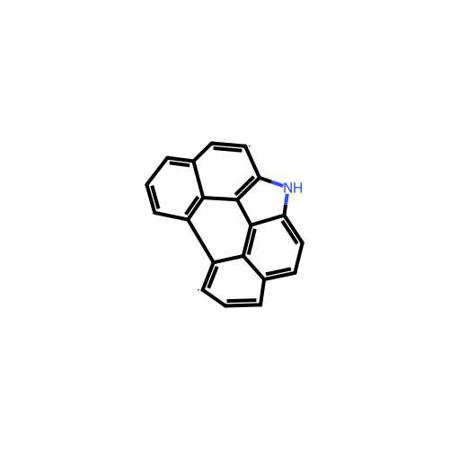 [c]1cc2cccc3c4[c]ccc5ccc6[nH]c1c(c23)c6c54